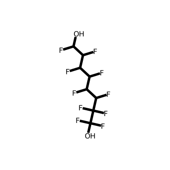 OC(F)C(F)C(F)C(F)C(F)C(F)C(F)(F)C(O)(F)F